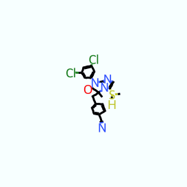 C[SH](C)c1cnc2n1C(C)(Cc1ccc(C#N)cc1)C(=O)N2c1cc(Cl)cc(Cl)c1